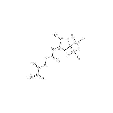 C=C(F)C(=O)OCC(=O)OC1OC(C(F)(F)F)(C(F)(F)F)CC1C